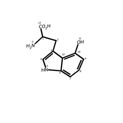 NC(Cc1c[nH]c2cccc(O)c12)C(=O)O